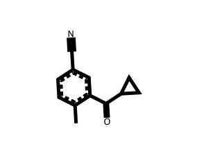 Cc1ccc(C#N)cc1C(=O)C1CC1